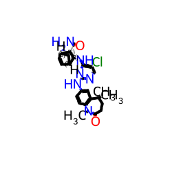 CN1C(=O)CCC(C)(C)c2cc(Nc3ncc(Cl)c(N[C@H]4[C@@H](C(N)=O)[C@@H]5C=C[C@H]4C5)n3)ccc21